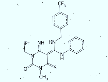 CC(C)CN1C(=N)/C(=C(\NCc2ccc(C(F)(F)F)cc2)Nc2ccccc2)C(=S)N(C)C1=O